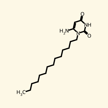 CCCCCCCCCCCCCCn1c(N)cc(=O)[nH]c1=O